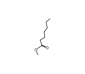 [CH]OC(=O)CCCCCC